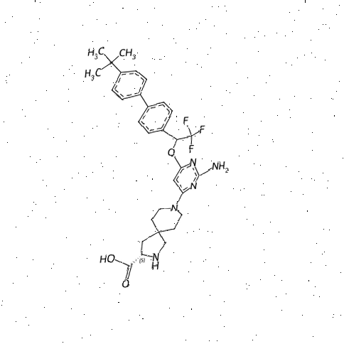 CC(C)(C)c1ccc(-c2ccc(C(Oc3cc(N4CCC5(CC4)CN[C@H](C(=O)O)C5)nc(N)n3)C(F)(F)F)cc2)cc1